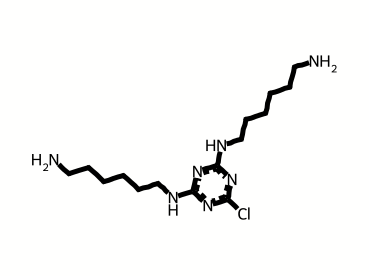 NCCCCCCNc1nc(Cl)nc(NCCCCCCN)n1